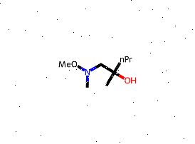 CCCC(C)(O)CN(C)OC